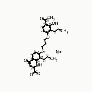 CCCc1c(OCCCSc2ccc3c(=O)cc(C(=O)[O-])[nH]c3c2CCC)ccc(C(C)=O)c1O.[Na+]